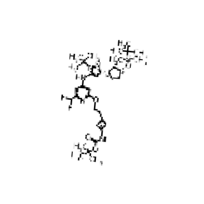 CC(C)(C)OC(=O)NC12CC(CCOc3cc(Nc4cc([C@H]5CC[C@@H](O[Si](C)(C)C(C)(C)C)C5)nn4C(C)(C)C)cc(C(F)F)n3)(C1)C2